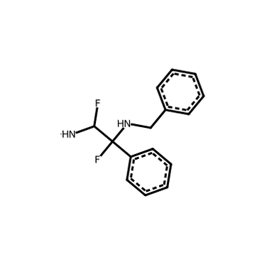 [NH]C(F)C(F)(NCc1ccccc1)c1ccccc1